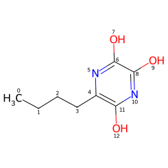 CCCCc1nc(O)c(O)nc1O